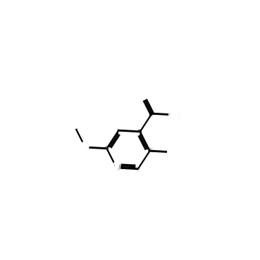 CSc1cc(C(=O)O)c(Cl)cn1